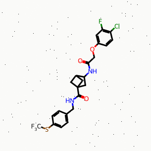 O=C(COc1ccc(Cl)c(F)c1)NC1CC2(C(=O)NCc3ccc(SC(F)(F)F)cc3)CC1C2